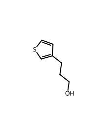 OCCCc1ccsc1